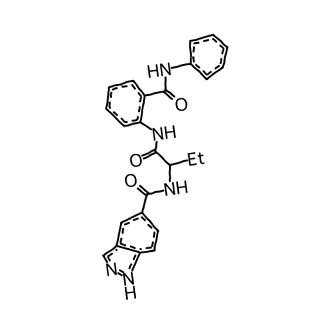 CCC(NC(=O)c1ccc2[nH]ncc2c1)C(=O)Nc1ccccc1C(=O)Nc1ccccc1